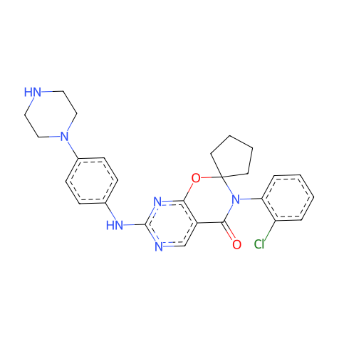 O=C1c2cnc(Nc3ccc(N4CCNCC4)cc3)nc2OC2(CCCC2)N1c1ccccc1Cl